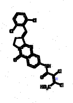 O=C(O)/C(Cl)=C(/Cl)C(=O)Nc1ccc2c(=O)n3c(nc2c1)C(=Cc1c(Cl)cccc1Cl)CC3